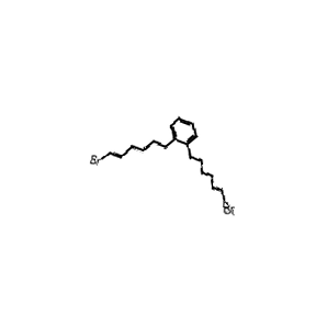 BrCCCCCCc1ccccc1CCCCCCBr